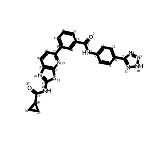 O=C(Nc1ccc(-c2nn[nH]n2)cc1)c1cccc(-c2ccc3nc(NC(=O)C4CC4)sc3n2)c1